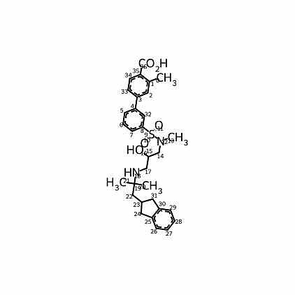 Cc1cc(-c2cccc(S(=O)(=O)N(C)CC(O)CNC(C)(C)CC3Cc4ccccc4C3)c2)ccc1C(=O)O